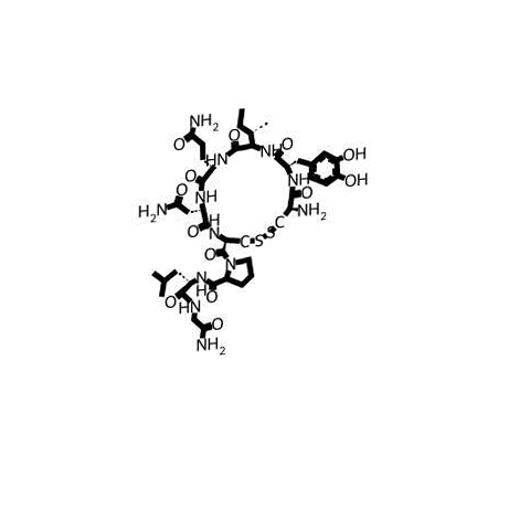 CC[C@H](C)C1NC(=O)[C@H](Cc2ccc(O)c(O)c2)NC(=O)[C@@H](N)CSSC[C@@H](C(=O)N2CCCC2C(=O)N[C@@H](CC(C)C)C(=O)NCC(N)=O)NC(=O)[C@H](CC(N)=O)NC(=O)[C@H](CCC(N)=O)NC1=O